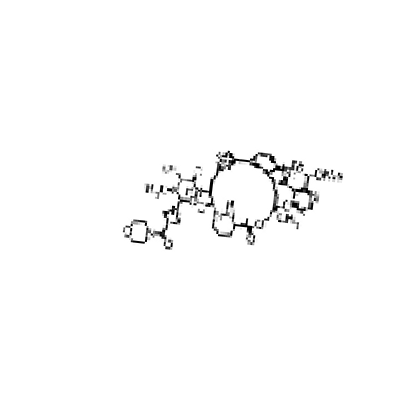 CCn1c(-c2cccnc2[C@H](C)OC)c2c3cc(ccc31)-c1csc(n1)C[C@H](NC(=O)C(C(C)C)N(C)C(=O)N1CC(C(=O)N3CCOCC3)C1)C(=O)N1CCC[C@H](N1)C(=O)OCC(C)(C)C2